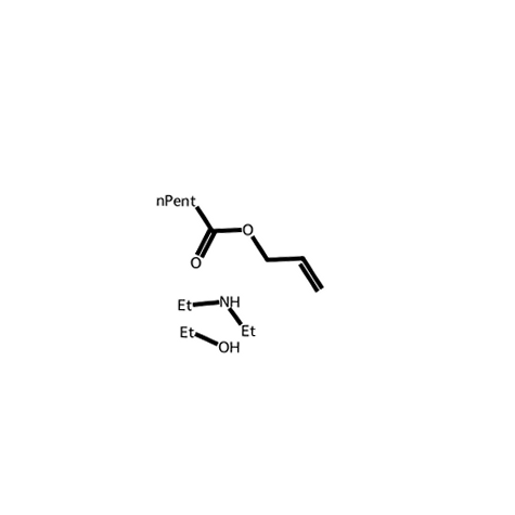 C=CCOC(=O)CCCCC.CCNCC.CCO